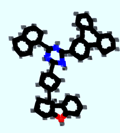 c1ccc2c(-c3nc(-c4ccc(-c5cccc6oc7ccccc7c56)cc4)nc(-c4ccc5c6ccccc6c6ccccc6c5c4)n3)cccc2c1